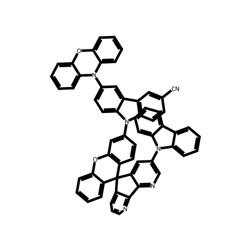 N#Cc1ccc2c(c1)c1cc(N3c4ccccc4Oc4ccccc43)ccc1n2-c1ccc2c(c1)Oc1ccccc1C21c2cccnc2-c2ncc(-n3c4ccccc4c4ccccc43)cc21